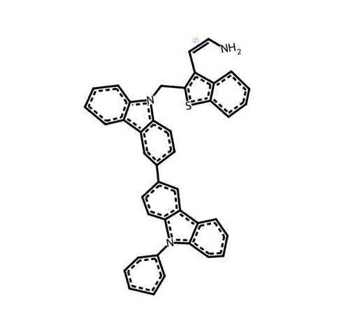 N/C=C\c1c(Cn2c3ccccc3c3cc(-c4ccc5c(c4)c4ccccc4n5-c4ccccc4)ccc32)sc2ccccc12